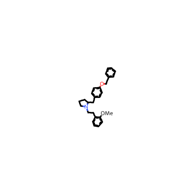 COc1ccccc1CCN1CCCC1Cc1ccc(OCc2ccccc2)cc1